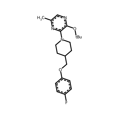 Cc1cnc(OC(C)(C)C)c(N2CCC(COc3ccc(F)cc3)CC2)n1